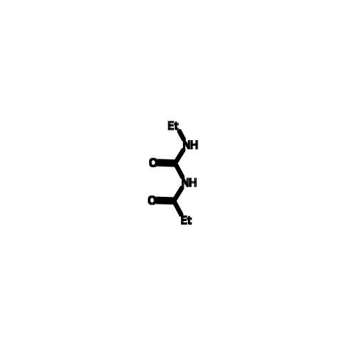 CCNC(=O)NC(=O)CC